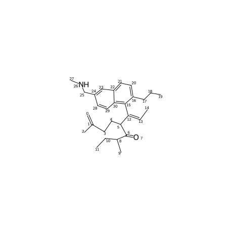 C=C(C)CCC(C(=O)C(C)CC)/C(=C/C)c1c(CCC)ccc2cc(CNC)ccc12